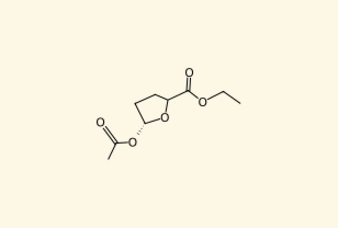 CCOC(=O)C1CC[C@@H](OC(C)=O)O1